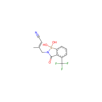 CC(=CC#N)CN1C(=O)c2c(C(F)(F)F)cccc2S1(O)O